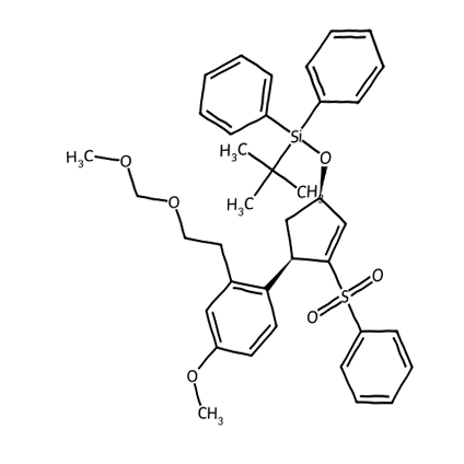 COCOCCc1cc(OC)ccc1[C@H]1C[C@@H](O[Si](c2ccccc2)(c2ccccc2)C(C)(C)C)C=C1S(=O)(=O)c1ccccc1